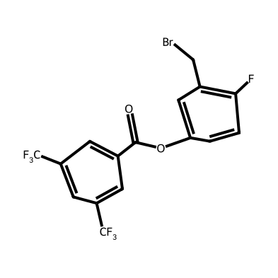 O=C(Oc1ccc(F)c(CBr)c1)c1cc(C(F)(F)F)cc(C(F)(F)F)c1